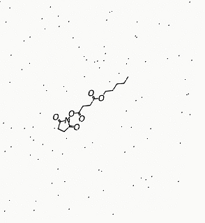 CCCCCOC(=O)CCC(=O)ON1C(=O)CCC1=O